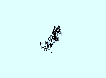 Cc1c(C(=O)C(=O)NC2(/C(N)=C/NN)CC2)c2n(c1C(=O)Nc1ccc(F)c(F)c1F)CCC2